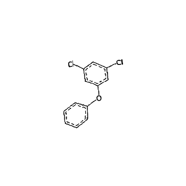 Clc1cc(Cl)cc(Oc2ccccc2)c1